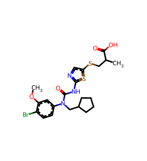 COc1cc(N(CC2CCCC2)C(=O)Nc2ncc(SCC(C)C(=O)O)s2)ccc1Br